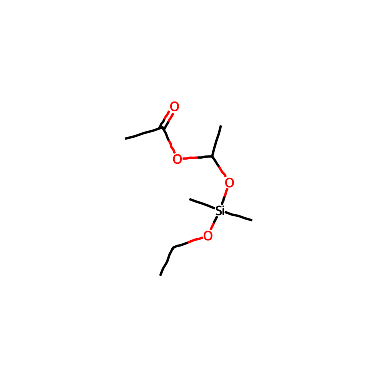 CCO[Si](C)(C)OC(C)OC(C)=O